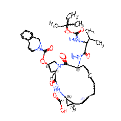 CC(C)C(NC(=O)OC(C)(C)C)C(=O)N[C@H]1CCCCC/C=C/[C@@H]2C[C@@]2(C(=O)O)NC(=O)[C@@H]2C[C@@H](OC(=O)N3CCc4ccccc4C3)CN2C1=O